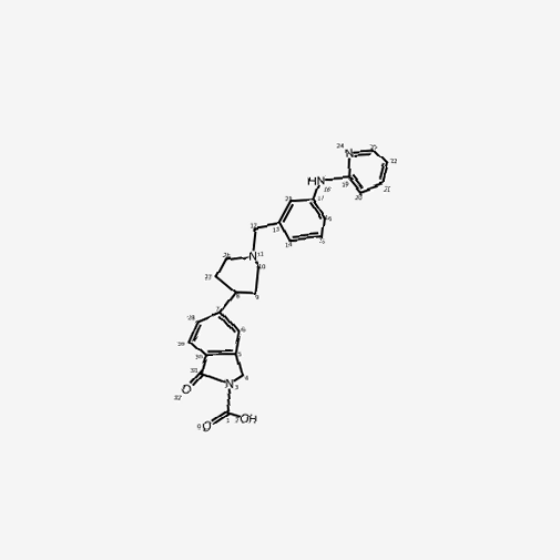 O=C(O)N1Cc2cc(C3CCN(Cc4cccc(Nc5ccccn5)c4)CC3)ccc2C1=O